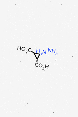 N.N.O=C(O)C1CC1C(=O)O